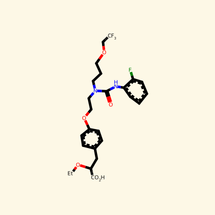 CCOC(Cc1ccc(OCCN(CCCOCC(F)(F)F)C(=O)Nc2ccccc2F)cc1)C(=O)O